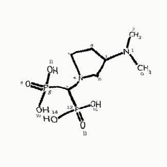 CN(C)C1CCN(C(P(=O)(O)O)P(=O)(O)O)C1